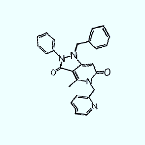 Cc1c2c(=O)n(-c3ccccc3)n(Cc3ccccc3)c2cc(=O)n1Cc1ccccn1